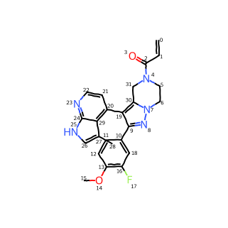 C=CC(=O)N1CCn2nc(-c3ccc(OC)c(F)c3)c(-c3ccnc4[nH]cc(C)c34)c2C1